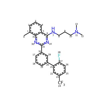 Cc1cccc2c(NCCCN(C)C)nc(-c3cccc(-c4cc(C(F)(F)F)ccc4F)c3)nc12